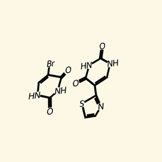 O=c1[nH]cc(-c2nccs2)c(=O)[nH]1.O=c1[nH]cc(Br)c(=O)[nH]1